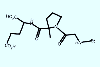 CCNCC(=O)N1CCCC1(C)C(=O)NC(CCC(=O)O)C(=O)O